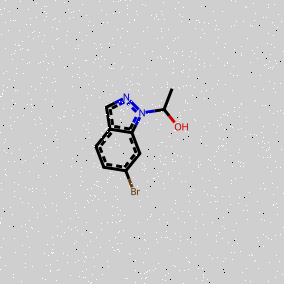 CC(O)n1ncc2ccc(Br)cc21